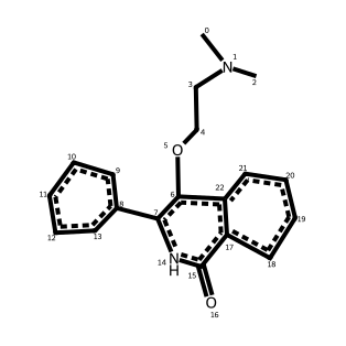 CN(C)CCOc1c(-c2ccccc2)[nH]c(=O)c2ccccc12